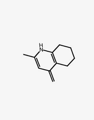 C=C1C=C(C)NC2=C1CCCC2